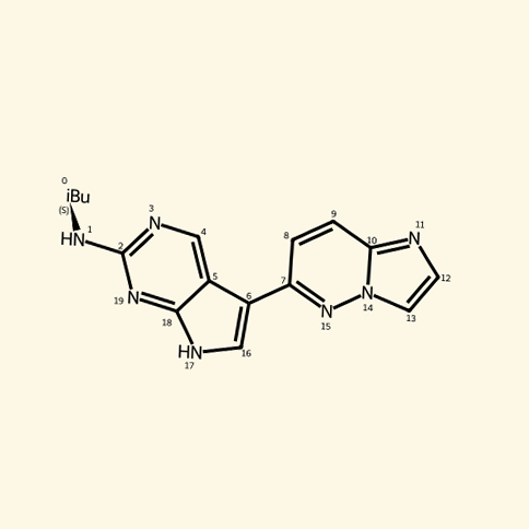 CC[C@H](C)Nc1ncc2c(-c3ccc4nccn4n3)c[nH]c2n1